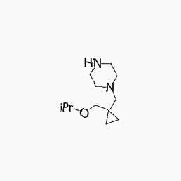 CC(C)OCC1(CN2CCNCC2)CC1